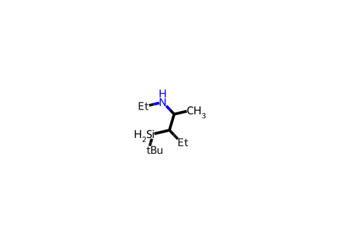 CCNC(C)C(CC)[SiH2]C(C)(C)C